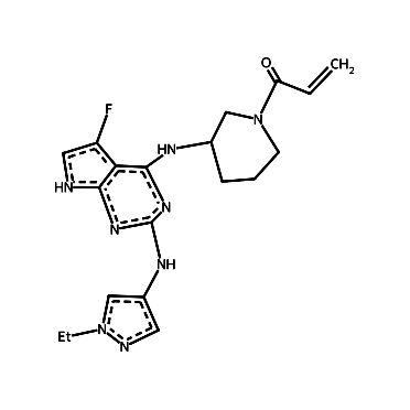 C=CC(=O)N1CCCC(Nc2nc(Nc3cnn(CC)c3)nc3[nH]cc(F)c23)C1